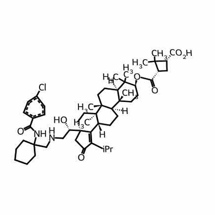 CC(C)C1=C2[C@H]3CC[C@@H]4[C@@]5(C)CC[C@H](OC(=O)[C@H]6C[C@@H](C(=O)O)C6(C)C)C(C)(C)[C@@H]5CC[C@@]4(C)[C@]3(C)CC[C@@]2([C@@H](O)CNCC2(NC(=O)c3ccc(Cl)cc3)CCCCC2)CC1=O